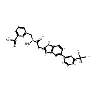 NN(Cc1cccc(C(=O)O)c1)C(=O)Cc1nc2cc(-c3cccc(C(F)(F)F)c3)ccc2s1